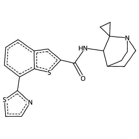 O=C(NC1C2CCN(CC2)C12CC2)c1cc2cccc(-c3nccs3)c2s1